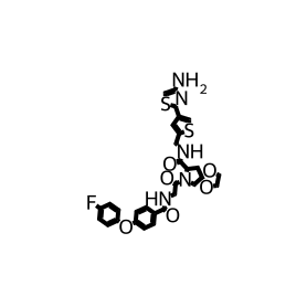 Nc1csc(-c2csc(CNC(=O)C3CC4(CN3C(=O)CNC(=O)c3ccc(Oc5ccc(F)cc5)cc3)OCCO4)c2)n1